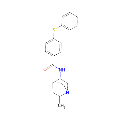 CC1CC2CCN1CC2NC(=O)c1ccc(Sc2ccccc2)cc1